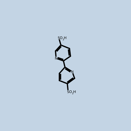 O=S(=O)(O)c1ccc(-c2ccc(S(=O)(=O)O)cn2)nc1